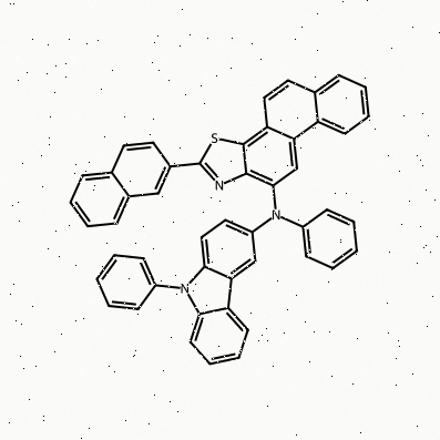 c1ccc(N(c2ccc3c(c2)c2ccccc2n3-c2ccccc2)c2cc3c4ccccc4ccc3c3sc(-c4ccc5ccccc5c4)nc23)cc1